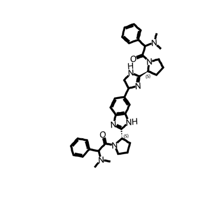 CN(C)C(C(=O)N1CCC[C@H]1C1=NC(c2ccc3nc([C@@H]4CCCN4C(=O)C(c4ccccc4)N(C)C)[nH]c3c2)CN1)c1ccccc1